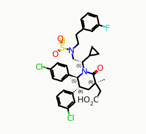 C[C@]1(CC(=O)O)C[C@H](c2cccc(Cl)c2)[C@@H](c2ccc(Cl)cc2)N([C@H](CN(CCc2cccc(F)c2)[SH](=O)=O)C2CC2)C1=O